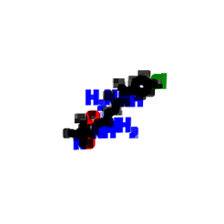 Cc1noc(NC(=O)/C(N)=C/C=C(\N)NC(C)c2ccc(Cl)cc2)c1C